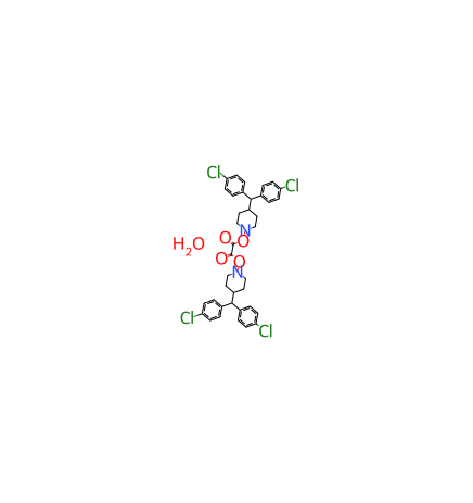 O.O=C(ON1CCC(C(c2ccc(Cl)cc2)c2ccc(Cl)cc2)CC1)C(=O)ON1CCC(C(c2ccc(Cl)cc2)c2ccc(Cl)cc2)CC1